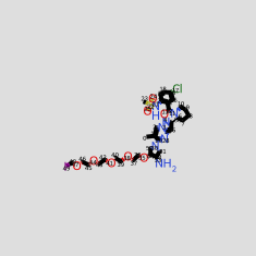 Cc1cn2nc([C@@H]3CCCCN3C(=O)c3cc(Cl)ccc3NS(C)(=O)=O)cc2nc1N1C[C@@H](N)[C@@H](OCCOCCOCCOCCOCI)C1